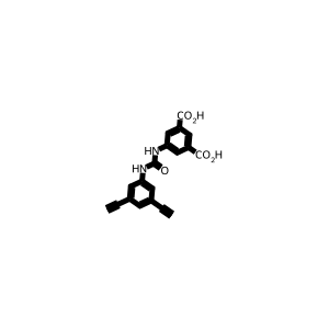 C#Cc1cc(C#C)cc(NC(=O)Nc2cc(C(=O)O)cc(C(=O)O)c2)c1